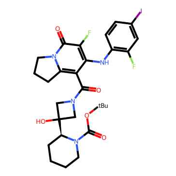 CC(C)(C)OC(=O)N1CCCC[C@H]1C1(O)CN(C(=O)c2c(Nc3ccc(I)cc3F)c(F)c(=O)n3c2CCC3)C1